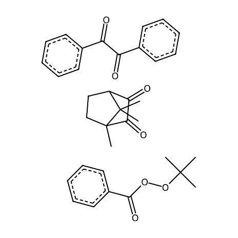 CC(C)(C)OOC(=O)c1ccccc1.CC12CCC(C(=O)C1=O)C2(C)C.O=C(C(=O)c1ccccc1)c1ccccc1